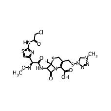 CON=C(C(=O)NC1C(=O)N2C(C(=O)O)=C(CSN3CN(C)N=N3)CS[C@@H]12)c1csc(NC(=O)CCl)n1